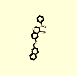 [O-][S+](c1ccccc1)[C@H]1COc2ccc(OCc3ccc4ccccc4n3)cc2[C@@H]1O